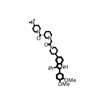 COc1ccc(-c2[nH]c3ccc(C4CCN(C(=O)CN5CCC[C@@H](C(=O)N6CCC(N(C)C)CC6)C5)CC4)cc3c2C(C)C)cc1OC